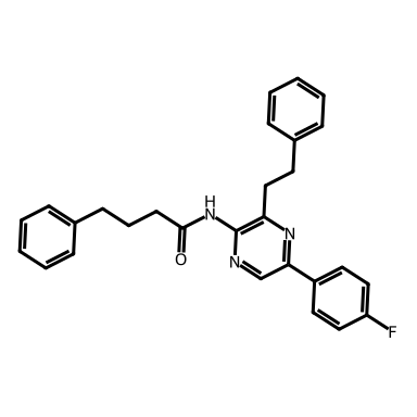 O=C(CCCc1ccccc1)Nc1ncc(-c2ccc(F)cc2)nc1CCc1ccccc1